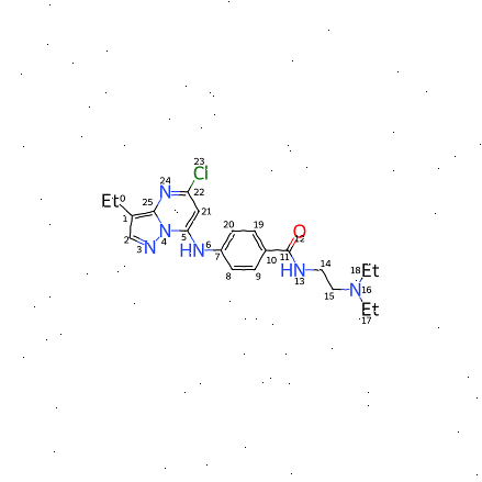 CCc1cnn2c(Nc3ccc(C(=O)NCCN(CC)CC)cc3)cc(Cl)nc12